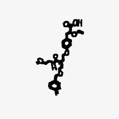 CCOC(Cc1ccc(OCCN(CCOCc2ccc(F)cc2)C(=O)NCCOC)cc1)C(=O)O